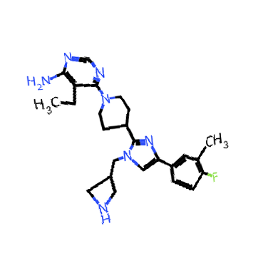 CCc1c(N)ncnc1N1CCC(c2nc(-c3ccc(F)c(C)c3)cn2CC2CNC2)CC1